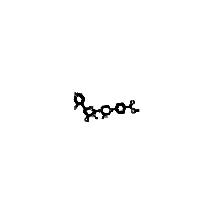 COC(=O)c1ccc(N2CCN(c3nc(-c4ccncc4F)cc(=O)n3C)[C@H](C)C2)cc1